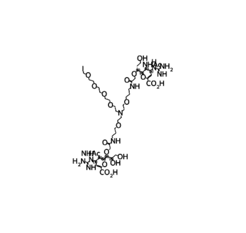 CC(=O)N[C@H]1[C@H]([C@H](OCC(=O)NCCCOCCN(CCOCCCNC(=O)CO[C@H](CCO)[C@@H]2OC(C(=O)O)=C[C@H](NC(=N)N)[C@H]2NC(C)=O)CCOCCOCCOCCOCI)[C@H](O)CO)OC(C(=O)O)=C[C@@H]1NC(=N)N